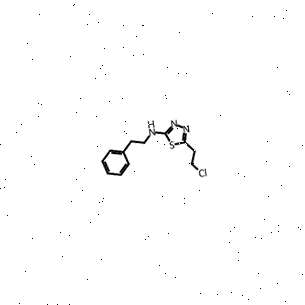 ClCCc1nnc(NCCc2ccccc2)s1